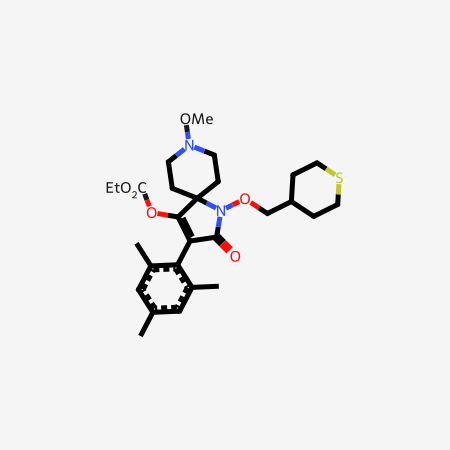 CCOC(=O)OC1=C(c2c(C)cc(C)cc2C)C(=O)N(OCC2CCSCC2)C12CCN(OC)CC2